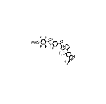 CSc1c(F)c(F)c(C(=O)Nc2c(F)cc(C(=O)c3ccc4c(-c5cc6ncn(C)c6cc5C(F)(F)F)cccn34)cc2F)c(F)c1F